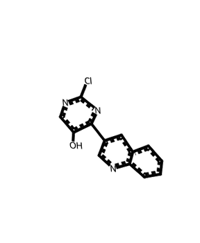 Oc1cnc(Cl)nc1-c1cnc2ccccc2c1